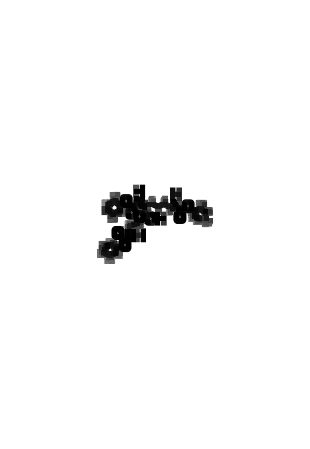 O=C(NCCCCC(NC(=O)Oc1ccccc1)C(O)OCCNC(=O)Oc1ccccc1)Oc1ccccc1